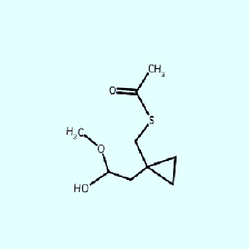 COC(O)CC1(CSC(C)=O)CC1